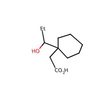 CCC(O)C1(CC(=O)O)CCCCC1